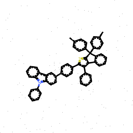 Cc1ccc(C2(c3ccc(C)cc3)c3ccccc3-c3c2sc(-c2ccc(-c4ccc5c(c4)c4ccccc4n5-c4ccccc4)cc2)c3-c2ccccc2)cc1